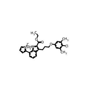 CCOC(=O)c1[nH]c2c(-c3cccn3C)cccc2c1CCCOc1cc(C)c(Cl)c(C)c1